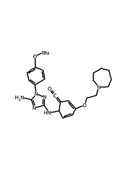 CC(C)(C)Oc1ccc(-n2nc(NC3C=CC(OCCN4CCCCCC4)=CC3=C=O)nc2N)cc1